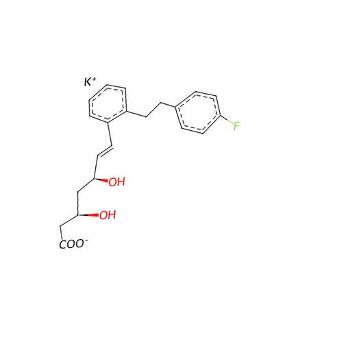 O=C([O-])C[C@H](O)C[C@H](O)/C=C/c1ccccc1CCc1ccc(F)cc1.[K+]